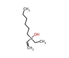 C=C[Si](O)(CC)CCCCCC